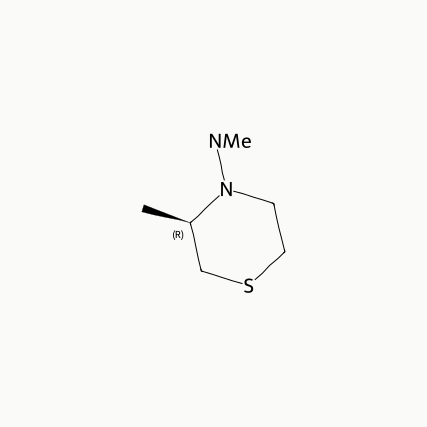 CNN1CCSC[C@H]1C